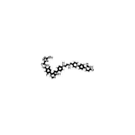 Cc1cc(-c2ncnc3[nH]c(-c4ccc(NCCNCC5CCN(c6ccc(N7CCC(=O)NC7=O)cc6)CC5)cc4)cc23)c(F)cc1[C@@H](C)NC(=O)c1noc(C(C)(C)C)n1